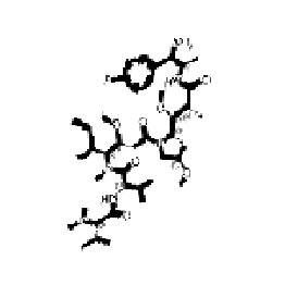 CCC(C)[C@@H]([C@@H](CC(=O)N1C[C@H](OC)C[C@H]1[C@H](OC)[C@@H](C)C(=O)N[C@H](C)C(N)c1ccc(F)cc1)OC)N(C)C(=O)[C@@H](NC(=O)[C@H](C(C)C)N(C)C)C(C)C